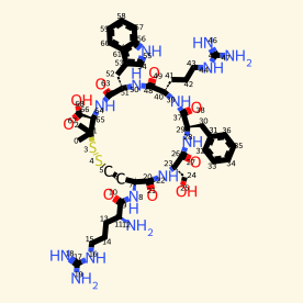 CC1(C)SSCC[C@H](NC(=O)[C@@H](N)CCCNC(=N)N)C(=O)N[C@@H](CO)C(=O)N[C@H](Cc2ccccc2)C(=O)N[C@@H](CCCNC(=N)N)C(=O)N[C@@H](Cc2c[nH]c3ccccc23)C(=O)N[C@@H]1C(=O)O